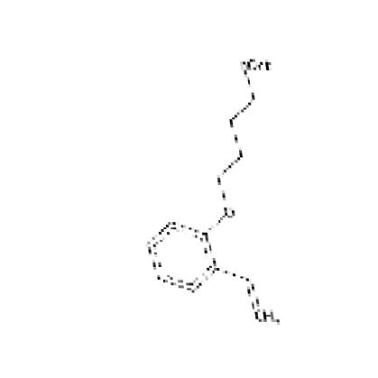 C=Cc1ccccc1OCCCCCCCCCCCC